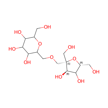 OCC1OC(COC[C@]2(CO)O[C@H](CO)C(O)[C@H]2O)C(O)C(O)C1O